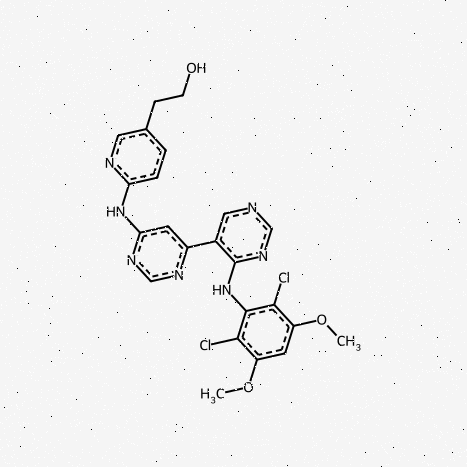 COc1cc(OC)c(Cl)c(Nc2ncncc2-c2cc(Nc3ccc(CCO)cn3)ncn2)c1Cl